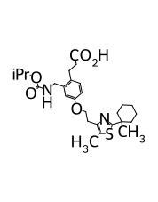 Cc1sc(C2(C)CCCCC2)nc1CCOc1ccc(CCC(=O)O)c(CNC(=O)OC(C)C)c1